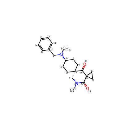 CCN1C[C@]2(CC[C@H](N(C)Cc3ccccc3)CC2)C(=O)C2(CC2)C1=O